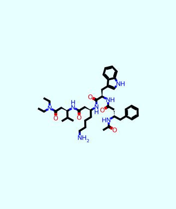 CCN(CC)C(=O)C[C@@H](NC(=O)C[C@H](CCCCN)NC(=O)[C@@H](Cc1c[nH]c2ccccc12)NC(=O)C[C@H](Cc1ccccc1)NC(C)=O)C(C)C